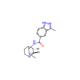 Cc1n[nH]c2ccc(C(=O)N[C@@H]3C4CCN(CC4)[C@H]3C)cc12